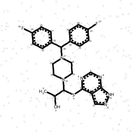 CC(O)C(Sc1ncnc2[nH]ncc12)N1CCN(C(c2ccc(F)cc2)c2ccc(F)cc2)CC1